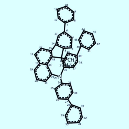 CC1(C)c2ccc(-c3ccccc3)cc2-c2ccc3cccc(N(c4ccc(-c5ccccc5)cc4)c4ccc(-c5ccccc5)cc4)c3c21